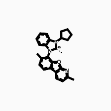 Cc1ccc2c(n1)oc1c(N3c4ccccc4B(C4CCCC4)[C@@H]3C)c(C)ccc12